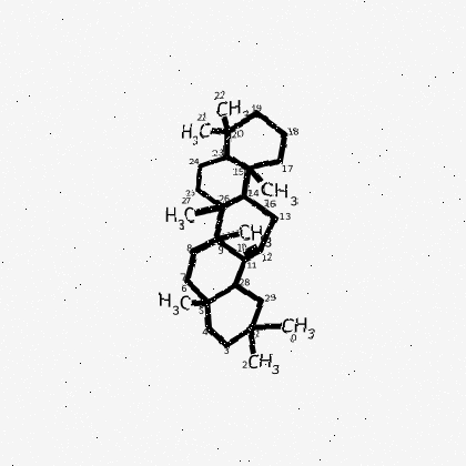 CC1(C)CCC2(C)CCC3(C)C(=CCC4C5(C)CCCC(C)(C)C5CCC43C)C2C1